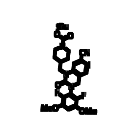 COc1cc(OC)c(F)c(N2Cc3cnc(C#N)cc3N(CC3CCN(C(=O)OC(C)(C)C)CC3)C2=O)c1F